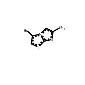 Nc1cn2c(Br)csc2n1